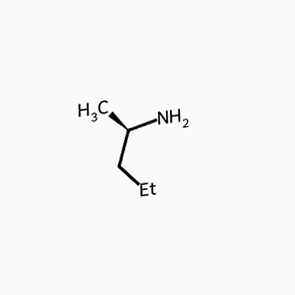 CCC[C@@H](C)N